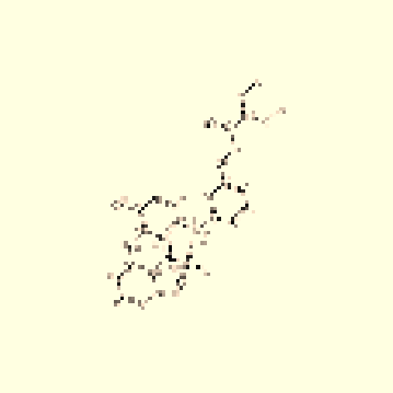 CCN(CC)C(=O)COc1cccc(Nc2ncc(Cl)c(Nc3ccccc3NS(C)(=O)=O)n2)c1